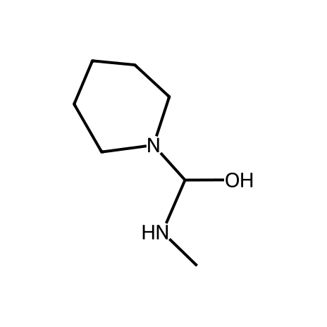 CNC(O)N1CCCCC1